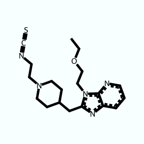 CCOCCn1c(CC2CCN(CCN=C=S)CC2)nc2cccnc21